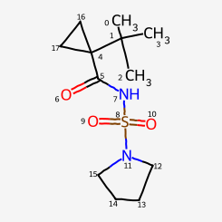 CC(C)(C)C1(C(=O)NS(=O)(=O)N2CCCC2)CC1